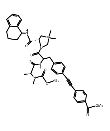 COC(=O)c1ccc(C#Cc2ccc(CC(NC(=O)[C@H](C)N(C)C(=O)OC(C)(C)C)C(=O)N3C[Si](C)(C)C[C@H]3C(=O)NC3CCCc4ccccc43)cc2)cc1